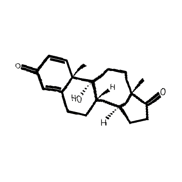 C[C@]12C=CC(=O)C=C1CC[C@H]1[C@@H]3CCC(=O)[C@@]3(C)CC[C@@]12O